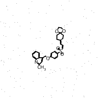 Cc1cc(COc2ccc(S(=O)(=O)/C=C\C=C3CCC4(CC3)OCCO4)cc2)c2ccccc2n1